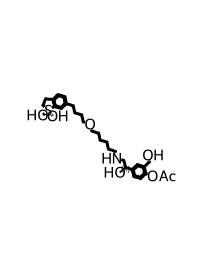 CC(=O)Oc1ccc([C@@H](O)CNCCCCCCOCCCCc2ccc3c(c2)S(O)(O)CC3)cc1CO